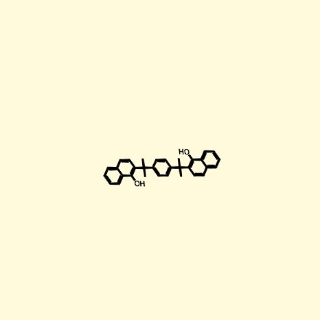 CC(C)(c1ccc(C(C)(C)c2ccc3ccccc3c2O)cc1)c1ccc2ccccc2c1O